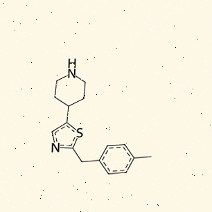 Cc1ccc(Cc2ncc(C3CCNCC3)s2)cc1